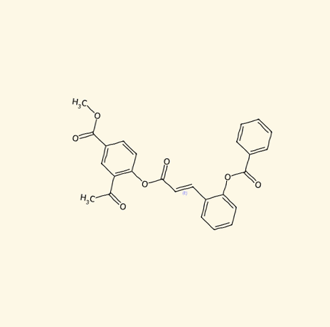 COC(=O)c1ccc(OC(=O)/C=C/c2ccccc2OC(=O)c2ccccc2)c(C(C)=O)c1